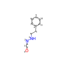 O=C=NNCCc1ccccc1